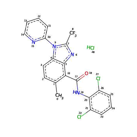 Cc1ccc2c(nc(C(F)(F)F)n2-c2ccccn2)c1C(=O)Nc1c(Cl)cccc1Cl.Cl